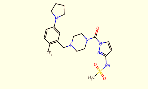 CS(=O)(=O)Nc1ccn(C(=O)N2CCN(Cc3cc(N4CCCC4)ccc3C(F)(F)F)CC2)n1